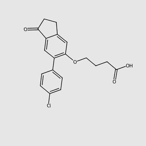 O=C(O)CCCOc1cc2c(cc1-c1ccc(Cl)cc1)C(=O)CC2